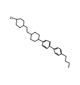 CCC1CCC(CCC2CCC(c3ccc(-c4ccc(CCCF)cc4)cc3)CC2)CC1